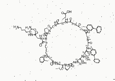 CC(C)[C@@H]1NC(=O)[C@H](Cc2ccccc2)NC(=O)CSC[C@@H](C(=O)NCC(=O)N[C@@H](CCCCN)C(N)=O)NC(=O)[C@@H]2CCCN2C(=O)CNC(=O)[C@H](CCC(=O)O)NC(=O)[C@H](C)N(C)C(=O)[C@H](Cc2ccc(-c3ccccc3)cc2)NC(=O)[C@H](C)N(C)C(=O)[C@H](Cc2ccc(-c3ccccc3)cc2)NC(=O)[C@H]([C@@H](C)O)NC(=O)[C@H]([C@@H](C)O)NC(=O)[C@@H]2CCCN2C1=O